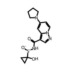 O=C(N[S+]([O-])C1(O)CC1)c1cnn2ccc(N3CCCC3)cc12